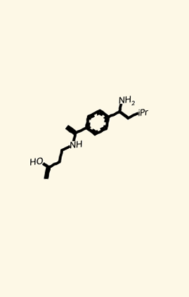 C=C(O)CCNC(=C)c1ccc(C(N)CC(C)C)cc1